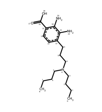 CCCCN(CCCC)CCCc1ccc(C(=O)O)c(N)c1N